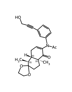 CC(=O)N(C1=CC[C@H]2[C@H](C)C3(CC[C@]2(C)C1=O)OCCO3)c1cccc(C#CCO)c1